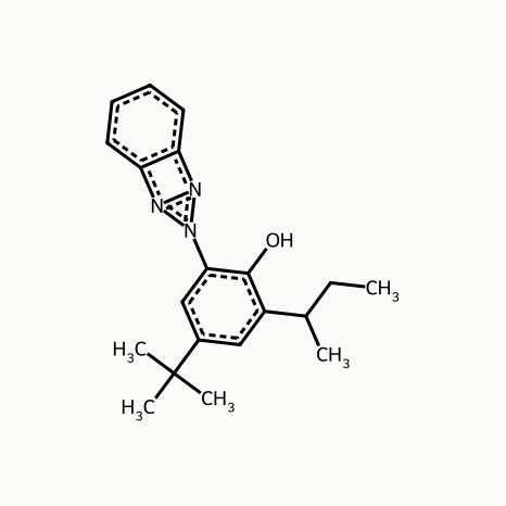 CCC(C)c1cc(C(C)(C)C)cc(-n2n3c4ccccc4n23)c1O